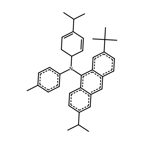 Cc1ccc(N(c2c3ccc(C(C)C)cc3cc3ccc(C(C)(C)C)cc23)C2C=CC(C(C)C)=CC2)cc1